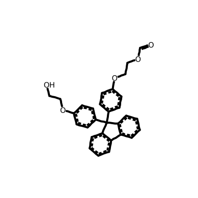 O=COCCOc1ccc(C2(c3ccc(OCCO)cc3)c3ccccc3-c3ccccc32)cc1